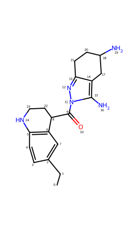 CCc1ccc2c(c1)C(C(=O)n1nc3c(c1N)CC(N)CC3)CCN2